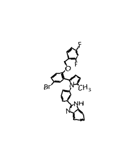 Cc1ccc(-c2cc(Br)ccc2OCc2ccc(F)cc2F)n1-c1cccc(-c2nc3ccccc3[nH]2)c1